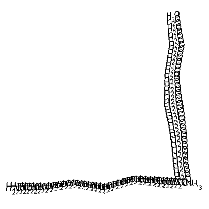 N.O.O.O.O.O.O.O.O.O.O.O.O.O.O.O.O.O.O.O.O.O.O.O.O.O.O.O.O.O.O.O.O.O.O.O.O.O.O.O.O.O.O.O.O.O.O.O.O.O.O.O.O.O.O.O.O.O.O.O.O.O.O.O.O.O.O.O.O.O.O.O.O.O.O.O.O.O.O.O.O